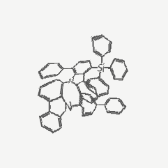 c1ccc(-c2ccc(-n3c4ccccc4c4cccc(-n5c6ccccc6c6c([Si](c7ccccc7)(c7ccccc7)c7ccccc7)ccc(-c7ccccc7)c65)c43)cc2)cc1